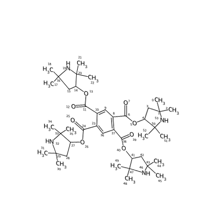 CC1(C)CC(OC(=O)c2cc(C(=O)OC3CC(C)(C)NC3(C)C)c(C(=O)OC3CC(C)(C)NC3(C)C)cc2C(=O)OC2CC(C)(C)NC2(C)C)C(C)(C)N1